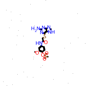 COc1cc(NC(=O)CSc2nc(N)nc3nc[nH]c23)ccc1OS(C)(=O)=O